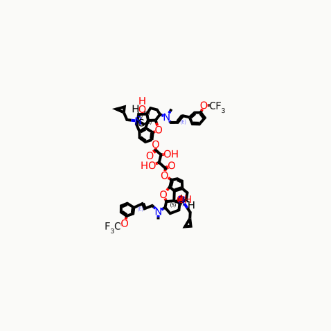 CN(C/C=C/c1cccc(OC(F)(F)F)c1)C1CC[C@@]2(O)[C@H]3Cc4ccc(OC(=O)C(O)C(O)C(=O)Oc5ccc6c7c5OC5C(N(C)C/C=C/c8cccc(OC(F)(F)F)c8)CC[C@@]8(O)[C@@H](C6)N(CC6CC6)CC[C@]758)c5c4[C@@]2(CCN3CC2CC2)C1O5